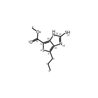 CCCc1sc(C(=O)OC)c2[nH]c(S)nc12